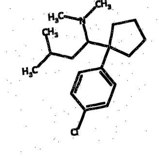 CC(C)CC(N(C)C)C1(c2ccc(Cl)cc2)CCCC1